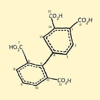 O=C(O)c1ccc(-c2c(C(=O)O)cccc2C(=O)O)cc1C(=O)O